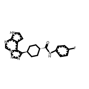 O=C(Nc1ccc(F)cc1)[C@H]1CC[C@H](c2nnn3cnc4[nH]ccc4c23)CC1